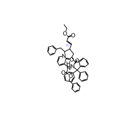 CCOC(=O)/C=C/C(CCC(=O)NC(c1ccccc1)(c1ccccc1)c1ccccc1)C(Cc1ccccc1)n1cccc(NC(=O)OCc2ccccc2)c1=O